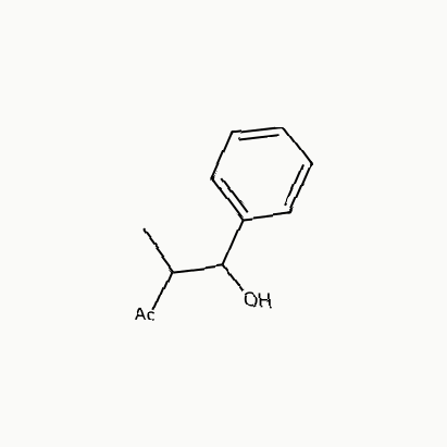 CC(=O)C(C)C(O)c1ccccc1